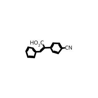 N#Cc1ccc(C(=Cc2ccccc2)C(=O)O)cc1